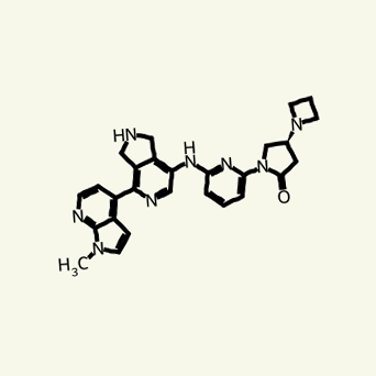 Cn1ccc2c(-c3ncc(Nc4cccc(N5C[C@@H](N6CCC6)CC5=O)n4)c4c3CNC4)ccnc21